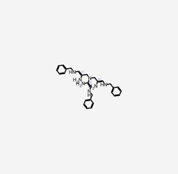 N/C(=C\NCc1ccccc1)CN(C/C(N)=C/NCc1ccccc1)/C(N)=C/NCc1ccccc1